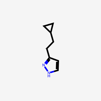 [CH](CC1CC1)c1cc[nH]n1